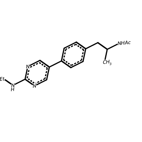 CCNc1ncc(-c2ccc(CC(C)NC(C)=O)cc2)cn1